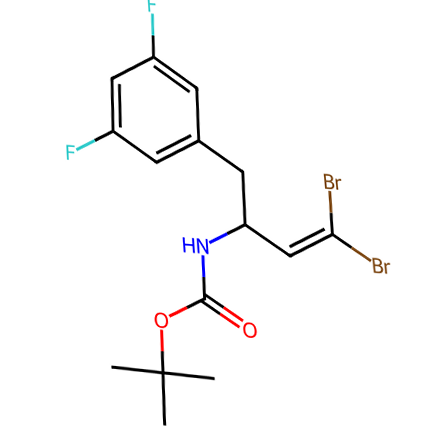 CC(C)(C)OC(=O)NC(C=C(Br)Br)Cc1cc(F)cc(F)c1